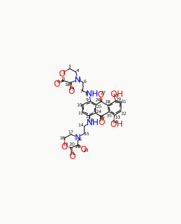 O=C1OCCN(CCNc2ccc(NCCN3CCOC(=O)C3=O)c3c2C(=O)c2c(O)ccc(O)c2C3=O)C1=O